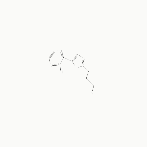 NCCCc1ncc(-c2cccnc2Cl)s1